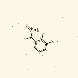 Cc1cccc(C(C)[SH](=O)=O)c1C